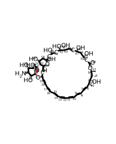 C[C@@H]1[C@H](O)[C@@H](C)/C=C/C=C/C=C/C=C/C=C/C=C/C=C/[C@H](O[C@@H]2O[C@H](C)[C@@H](O)[C@H](N)[C@H]2O)C[C@@H]2O[C@](O)(C[C@@H](O)C[C@@H](O)[C@H](O)CC[C@@H](O)C[C@@H](O)CC(=O)O[C@H]1C)C[C@H](O)[C@H]2C(=O)O